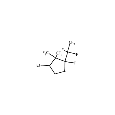 [CH2]CC1C[CH]C(F)(C(F)(F)C(F)(F)F)C1(C(F)(F)F)C(F)(F)F